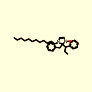 CCCCCCCCCCCCN1C=CN(C)C1(Cc1ccccc1)C(CC)c1ccccc1